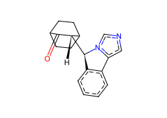 O=C1C2CCC(CC2)[C@@H]1[C@@H]1c2ccccc2-c2cncn21